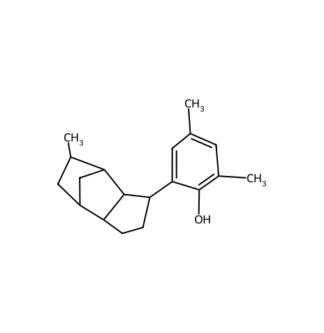 Cc1cc(C)c(O)c(C2CCC3C4CC(C)C(C4)C23)c1